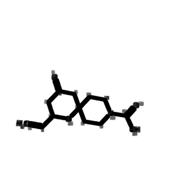 C=CC1CC(=O)CC2(CCN(C(=O)O)CC2)O1